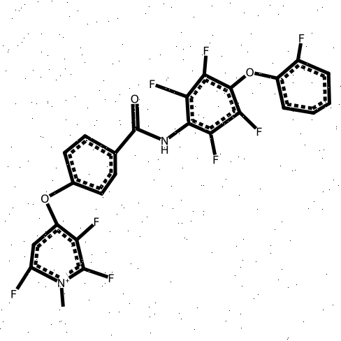 C[n+]1c(F)cc(Oc2ccc(C(=O)Nc3c(F)c(F)c(Oc4ccccc4F)c(F)c3F)cc2)c(F)c1F